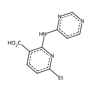 CCc1ccc(C(=O)O)c(Nc2ccncn2)n1